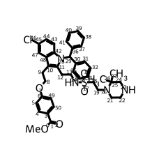 COC(=O)c1ccc(OCCc2c(CCNS(=O)(=O)CCN3CCNCC3(C)C)n(C(c3ccccc3)c3ccccc3)c3ccc(Cl)cc23)cc1